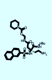 CCCCNC(=O)[C@](CCN)(CC(=O)NCOC(=O)N1CCCCC1)NS(=O)(=O)c1ccc2ccccc2c1